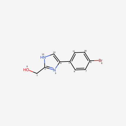 OCc1nc(-c2ccc(Br)cc2)c[nH]1